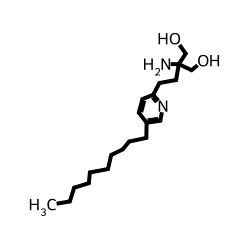 CCCCCCCCCCc1ccc(CCC(N)(CO)CO)nc1